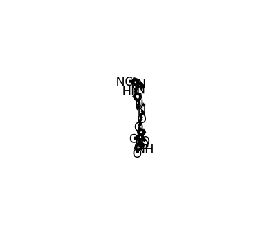 N#Cc1ccc2ncnc(NC3CCC(N4CCN(CCOCCOc5ccc6c(c5)C(=O)N(C5CCC(=O)NC5=O)C6=O)CC4)CC3)c2c1